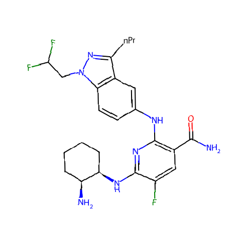 CCCc1nn(CC(F)F)c2ccc(Nc3nc(N[C@@H]4CCCC[C@@H]4N)c(F)cc3C(N)=O)cc12